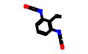 CC(C)(C)c1c(N=C=O)cccc1N=C=O